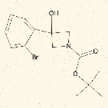 CC(C)(C)OC(=O)N1CC(O)(c2ccccc2Br)C1